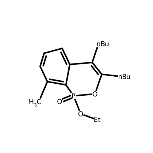 CCCCC1=C(CCCC)c2cccc(C)c2P(=O)(OCC)O1